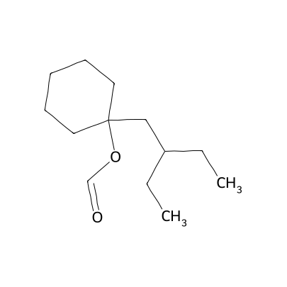 CCC(CC)CC1(OC=O)CCCCC1